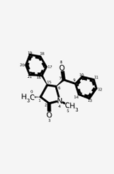 C[C@H]1C(=O)N(C)[C@H](C(=O)c2ccccc2)[C@@H]1c1ccccc1